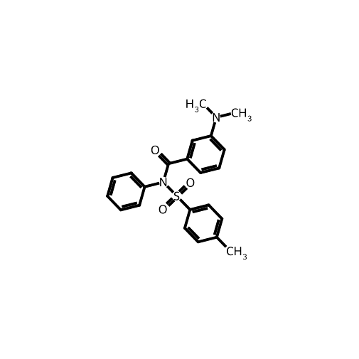 Cc1ccc(S(=O)(=O)N(C(=O)c2cccc(N(C)C)c2)c2ccccc2)cc1